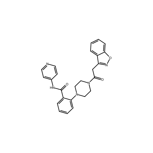 O=C(Nc1ccncc1)c1ccccc1N1CCN(C(=O)Cc2noc3ccccc23)CC1